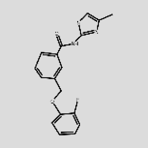 Cc1csc(NC(=O)c2cccc(COc3ccccc3F)c2)n1